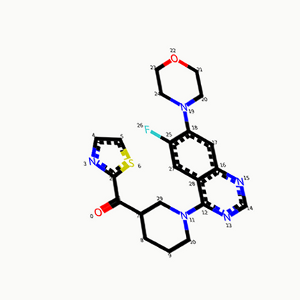 O=C(c1nccs1)C1CCCN(c2ncnc3cc(N4CCOCC4)c(F)cc23)C1